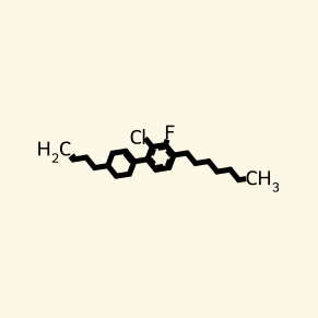 C=CCCC1CC=C(c2ccc(CCCCCCC)c(F)c2Cl)CC1